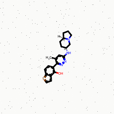 Cc1cc(N[C@@H]2CC[C@H]3CCCN3C2)nnc1-c1ccc2sccc2c1O